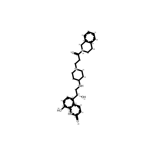 O=C(CCN1CCC(NC[C@H](O)c2ccc(O)c3[nH]c(=O)ccc23)CC1)N1CCc2ccccc2C1